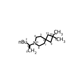 C=C(CCCC)N1CCC2(CC1)CC(C)(C)C2